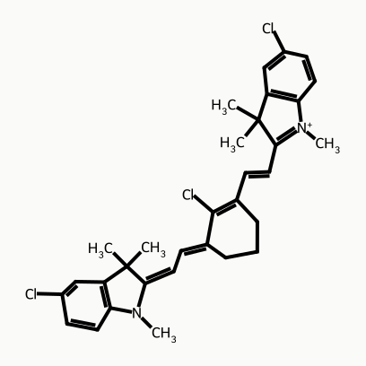 CN1/C(=C/C=C2\CCCC(/C=C/C3=[N+](C)c4ccc(Cl)cc4C3(C)C)=C2Cl)C(C)(C)c2cc(Cl)ccc21